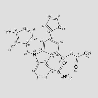 NC(=O)c1cccc2c1c1c(OCC(=O)O)cc(-c3ccco3)cc1n2Cc1cccc(F)c1F